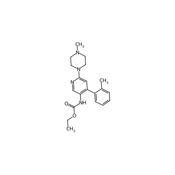 CCOC(=O)Nc1cnc(N2CCN(C)CC2)cc1-c1ccccc1C